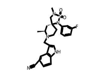 C[C@H]1C[C@]2(CCN1Cc1c[nH]c3ccc(C#N)cc13)CN(C)S(=O)(=O)N2c1cccc(F)c1